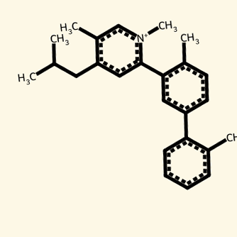 Cc1c[n+](C)c(-c2cc(-c3ccccc3C)ccc2C)cc1CC(C)C